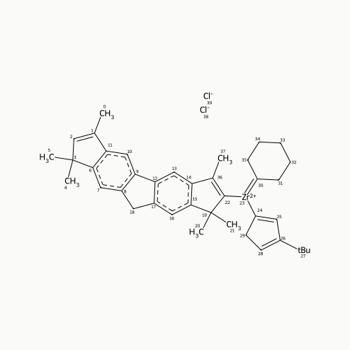 CC1=CC(C)(C)c2cc3c(cc21)-c1cc2c(cc1C3)C(C)(C)[C]([Zr+2]([C]1=CC(C(C)(C)C)=CC1)=[C]1CCCCC1)=C2C.[Cl-].[Cl-]